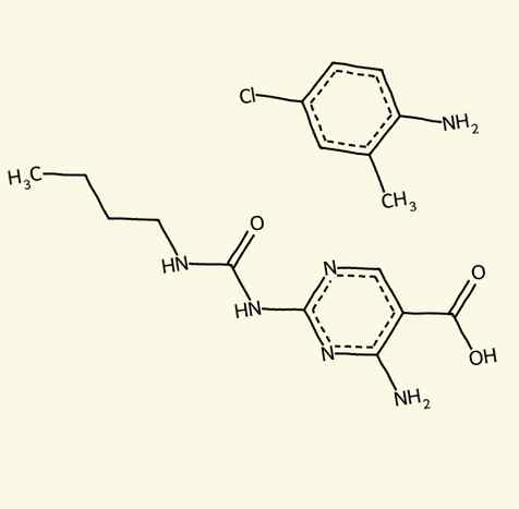 CCCCNC(=O)Nc1ncc(C(=O)O)c(N)n1.Cc1cc(Cl)ccc1N